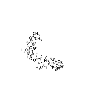 CCCC1=C(N2CCN(C(=O)CN3C(=O)NC(C)(c4ccc(OC(C)C)cc4)C3=O)CC2)C=CC(C(O)(C(F)(F)F)C(F)(F)F)C1